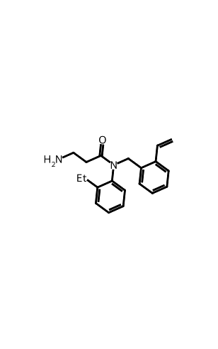 C=Cc1ccccc1CN(C(=O)CCN)c1ccccc1CC